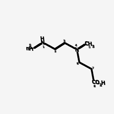 CCCNCCN(C)CCC(=O)O